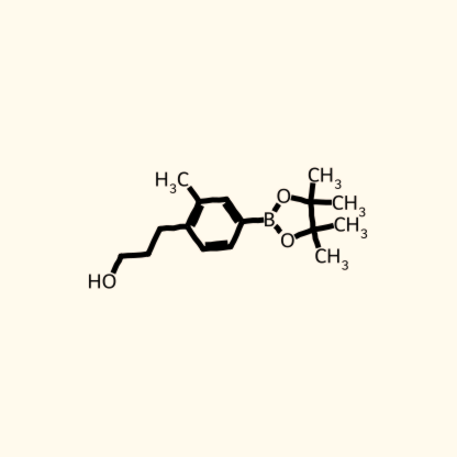 Cc1cc(B2OC(C)(C)C(C)(C)O2)ccc1CCCO